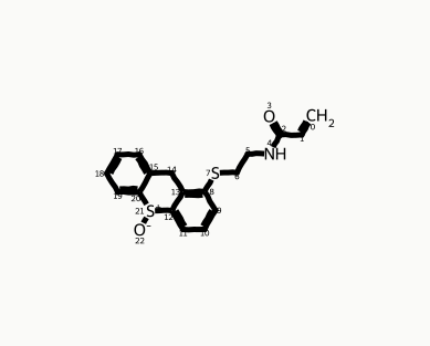 C=CC(=O)NCCSc1cccc2c1Cc1ccccc1[S+]2[O-]